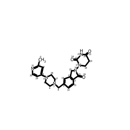 Cc1cc(N2CCN(Cc3ccc4c(c3)CN(N3CCC(=O)NC3=O)C4=O)CC2)ccn1